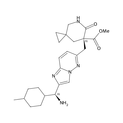 COC(=O)[C@]1(Cc2ccc3nc([C@@H](N)C4CCC(C)CC4)cn3n2)CC2(CC2)CNC1=O